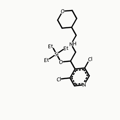 CC[Si](CC)(CC)OC(CNCC1CCOCC1)c1c(Cl)cncc1Cl